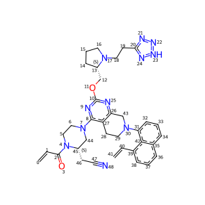 C=CC(=O)N1CCN(c2nc(OC[C@@H]3CCCN3CCc3nn[nH]n3)nc3c2CCN(c2cccc4cccc(C=C)c24)C3)C[C@@H]1CC#N